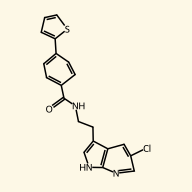 O=C(NCCc1c[nH]c2ncc(Cl)cc12)c1ccc(-c2cccs2)cc1